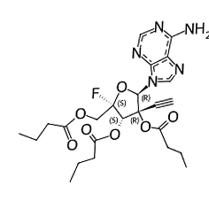 C#C[C@]1(OC(=O)CCC)[C@H](n2cnc3c(N)ncnc32)O[C@](F)(COC(=O)CCC)[C@H]1OC(=O)CCC